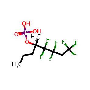 CCCC(C)(OP(=O)(O)O)C(F)(F)C(F)(F)CC(F)(F)F